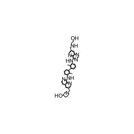 Cc1c(Nc2nccc3cc(CN4CCC(O)C4)cnc23)cccc1-c1cccc(Nc2ncnc3cc(CNCCO)cnc23)c1C